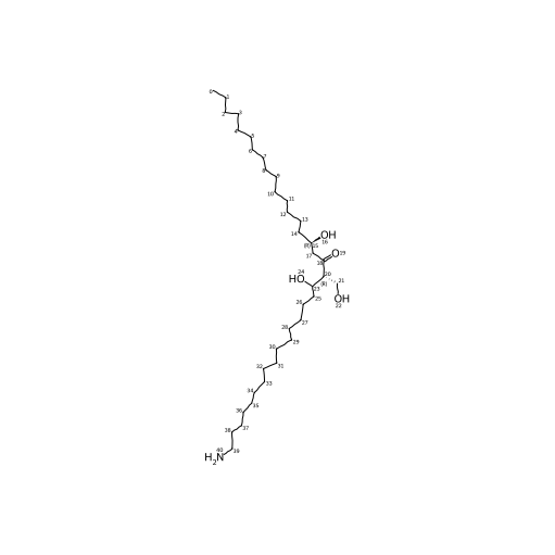 CCCCCCCCCCCCCCC[C@@H](O)CC(=O)[C@H](CO)C(O)CCCCCCCCCCCCCCCN